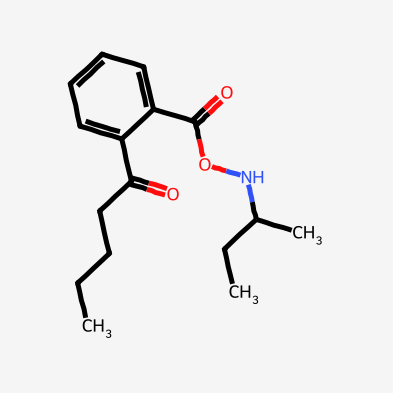 CCCCC(=O)c1ccccc1C(=O)ONC(C)CC